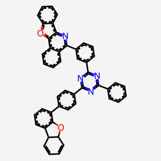 C1=CC2Oc3c(-c4ccc(-c5nc(-c6ccccc6)nc(-c6cccc(-c7nc8c9ccccc9oc8c8ccccc78)c6)n5)cc4)cccc3C2C=C1